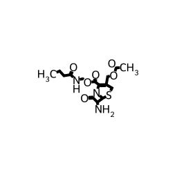 CCCC(=O)NCOC(=O)C1=C(COC(C)=O)CSC2C(N)C(=O)N12